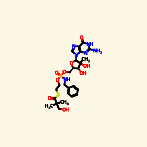 CC(C)(CO)C(=O)SCCOP(=O)(NCc1ccccc1)OC[C@H]1O[C@@H](n2cnc3c(=O)[nH]c(N)nc32)C(C)(O)[C@H]1O